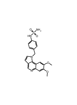 COc1cc2ncc3ccn(Cc4ccc(NS(N)(=O)=O)cc4)c3c2cc1OC